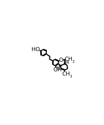 C=C1Oc2cc(CCc3ccc(O)cc3)cc(O)c2[C@@H]2C=C(C)CC[C@H]12